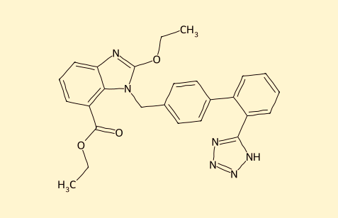 CCOC(=O)c1cccc2nc(OCC)n(Cc3ccc(-c4ccccc4-c4nnn[nH]4)cc3)c12